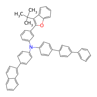 CC(C)(C)c1c(-c2cccc(N(c3ccc(-c4ccc(-c5ccccc5)cc4)cc3)c3ccc(-c4ccc5ccccc5c4)cc3)c2)oc2ccccc12